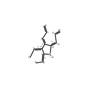 C=CC=c1c(=C/C)/c(=C\C)s/c1=C/C=C